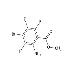 COC(=O)c1c(N)c(F)c(Br)c(F)c1F